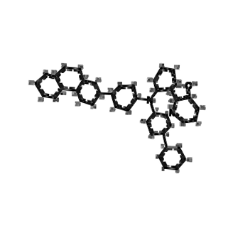 c1ccc(-c2ccc(N(c3ccc(-c4ccc5c(ccc6ccccc65)c4)cc3)c3cccc4oc5cccnc5c34)cc2)cc1